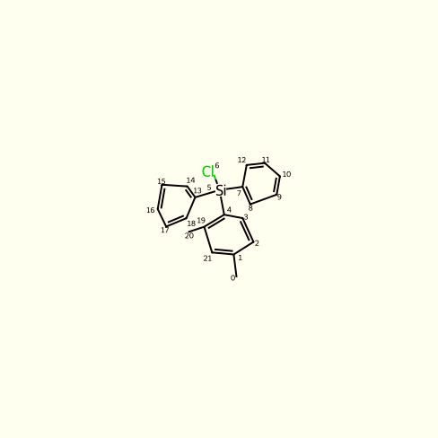 Cc1ccc([Si](Cl)(c2ccccc2)c2ccccc2)c(C)c1